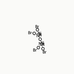 Brc1ccc(-c2nnc(-c3ccc(-c4nnc(-c5ccc(Br)cc5)c(-c5ccc(Br)cc5)n4)cc3)nc2-c2ccc(Br)cc2)cc1